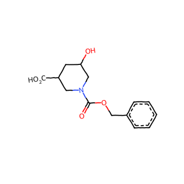 O=C(O)C1CC(O)CN(C(=O)OCc2ccccc2)C1